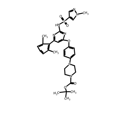 Cc1cccc(C)c1-c1cc(Oc2ccc(N3CCN(C(=O)OC(C)(C)C)CC3)cc2)nc(NS(=O)(=O)c2cnn(C)c2)n1